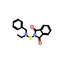 CCN(Cc1ccccc1)SN1C(=O)c2ccccc2C1=O